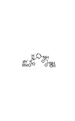 COC(=O)[C@H](CC(C)C)NCc1cccc(NC(=O)CC(=O)NO)c1